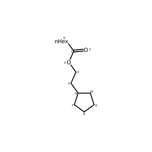 [CH2]CCCCCC(=O)OCCC1CCCC1